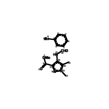 CC(C)(C)c1ccccc1.COC(=O)c1nn(C)c(C)c1NC=O